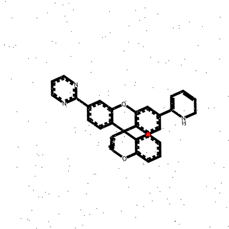 C1=CCNC(c2ccc3c(c2)Oc2cc(-c4ncccn4)ccc2C32c3ccccc3Oc3ccccc32)=C1